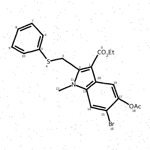 CCOC(=O)c1c(CSc2ccccc2)n(C)c2cc(Br)c(OC(C)=O)cc12